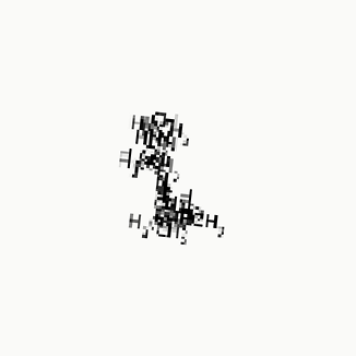 COC(=O)[C@@H]1CC[C@@H]2CCN(C(=O)c3cnc(N4CCC(COc5cc6ncnc(Nc7n[nH]c(C)c7C)c6cc5S(=O)(=O)C(C)(C)C)CC4)cn3)C[C@H](NC(=O)OC(C)(C)C)C(=O)N21